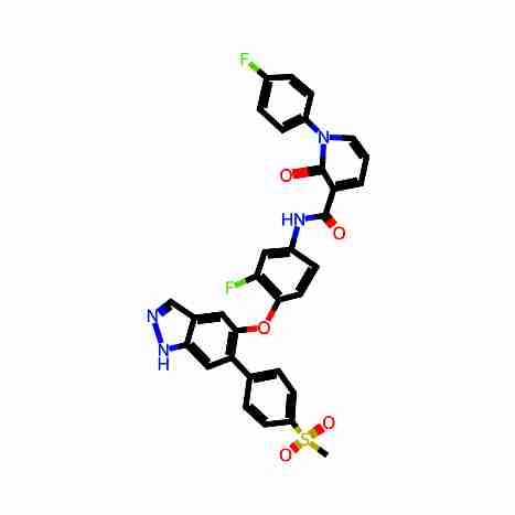 CS(=O)(=O)c1ccc(-c2cc3[nH]ncc3cc2Oc2ccc(NC(=O)c3cccn(-c4ccc(F)cc4)c3=O)cc2F)cc1